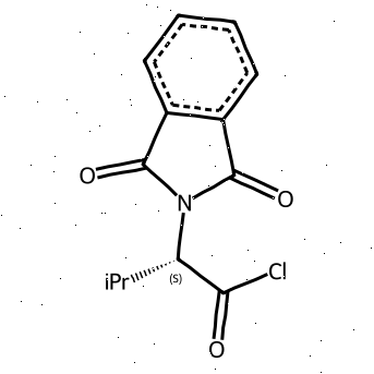 CC(C)[C@@H](C(=O)Cl)N1C(=O)c2ccccc2C1=O